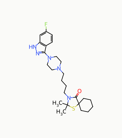 CC1(C)SC2(CCCCC2)C(=O)N1CCCCN1CCN(c2n[nH]c3cc(F)ccc23)CC1